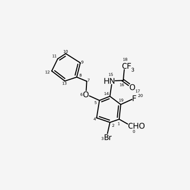 O=Cc1c(Br)cc(OCc2ccccc2)c(NC(=O)C(F)(F)F)c1F